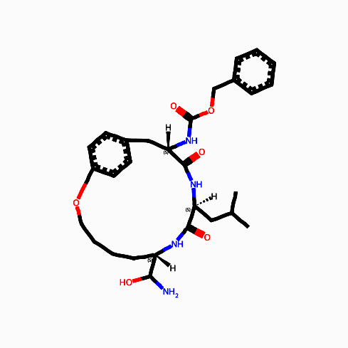 CC(C)C[C@@H]1NC(=O)[C@@H](NC(=O)OCc2ccccc2)Cc2ccc(cc2)OCCCC[C@@H](C(N)O)NC1=O